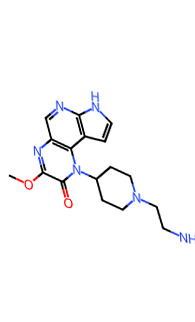 COc1nc2cnc3[nH]ccc3c2n(C2CCN(CCN)CC2)c1=O